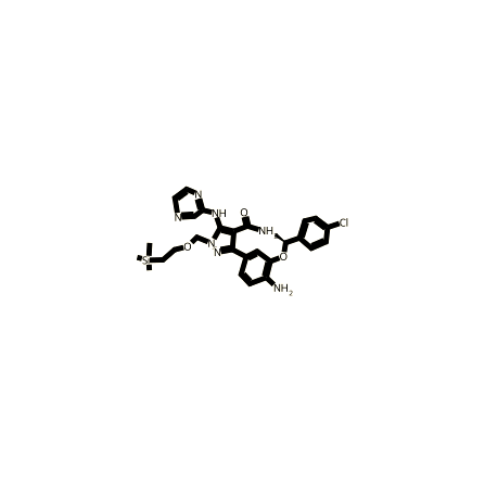 C[C@H](Oc1cc(-c2nn(COCC[Si](C)(C)C)c(Nc3cnccn3)c2C(N)=O)ccc1N)c1ccc(Cl)cc1